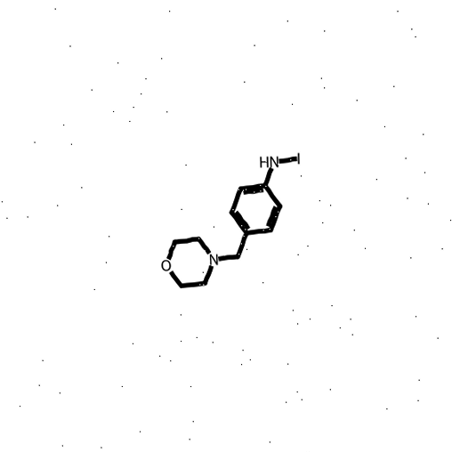 INc1ccc(CN2CCOCC2)cc1